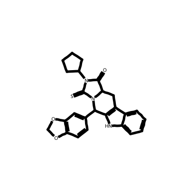 O=C1C2Cc3c([nH]c4ccccc34)C(c3ccc4c(c3)OCO4)N2C(=S)N1C1CCCC1